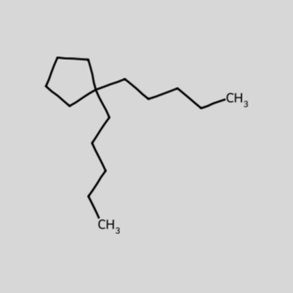 CCCCCC1(CCCCC)CCCC1